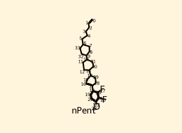 C=CCCCCC1CCC(C2CCC(C3CC=C(c4ccc(OCCCCC)c(F)c4F)CC3)CC2)CC1